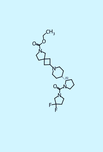 CCOC(=O)N1CCC2(CC(N3CCC([C@@H]4CCCN4C(=O)N4CCC(F)(F)C4)CC3)C2)C1